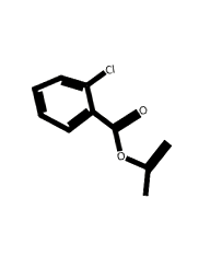 C=C(C)OC(=O)c1ccccc1Cl